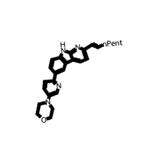 CCCCCC=Cc1ccc2c(n1)[nH]c1ccc(-c3ccc(N4CCOCC4)cn3)cc12